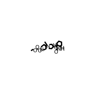 CCOC(=O)ON1CCC(CC)(N2CCC(N3C(=O)N[C@H]4CCCC[C@@H]43)CC2)CC1